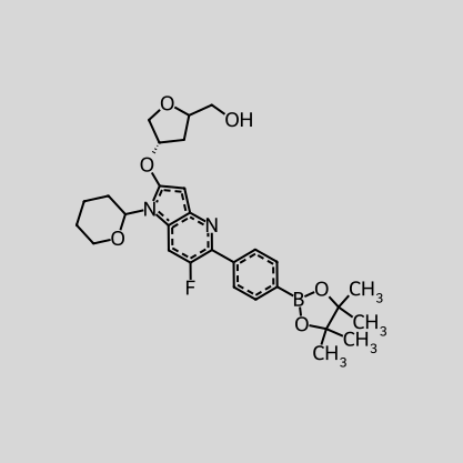 CC1(C)OB(c2ccc(-c3nc4cc(O[C@@H]5COC(CO)C5)n(C5CCCCO5)c4cc3F)cc2)OC1(C)C